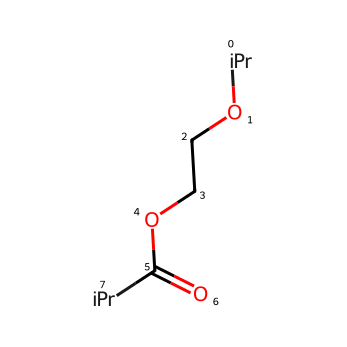 CC(C)OCCOC(=O)C(C)C